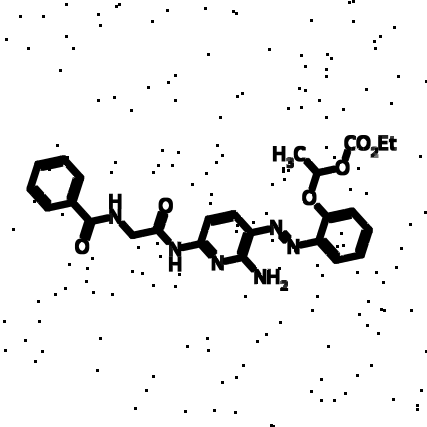 CCOC(=O)OC(C)Oc1ccccc1/N=N/c1ccc(NC(=O)CNC(=O)c2ccccc2)nc1N